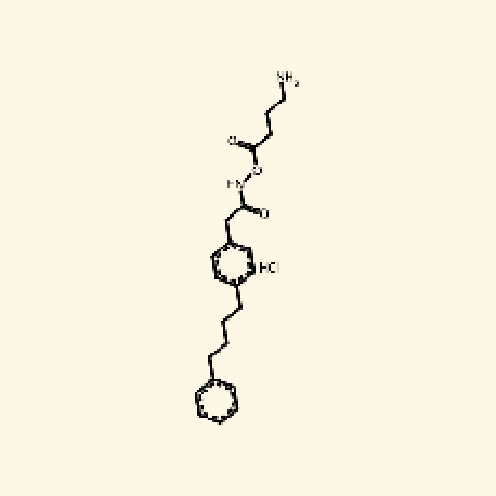 Cl.NCCCC(=O)ONC(=O)Cc1ccc(CCCCc2ccccc2)cc1